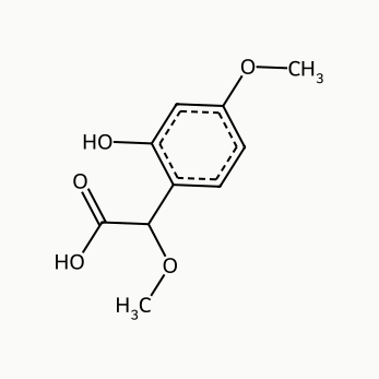 COc1ccc(C(OC)C(=O)O)c(O)c1